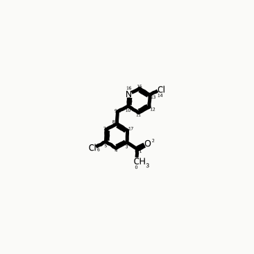 CC(=O)c1cc(Cl)cc([CH]c2ccc(Cl)cn2)c1